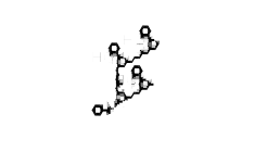 CC1CC(CCCC2CC(CC(O)CCCC3CC(CCCC(O)CC4CCOC(c5ccccc5O)O4)OC(c4ccccc4O)O3)OC(CNC(=O)c3ccccc3)O2)OC(c2ccccc2O)O1